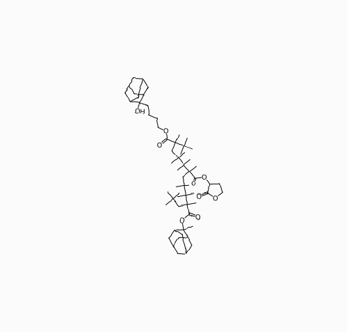 CC(C)(C)CC(C)(C(=O)OC1(C)C2CC3CC(C2)CC1C3)C(C)(C)C(C)(C)CC(C)(C(=O)OC1CCOC1=O)C(C)(C)C(C)(C)CC(C)(C(=O)OCCCCC1(O)C2CC3CC(C2)CC1C3)C(C)(C)C